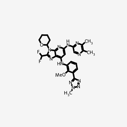 COc1c(Nc2cc(Nc3cnc(C)c(C)n3)nc3c2nc(C(F)F)n3C2CCCCO2)cccc1-c1nnn(C)n1